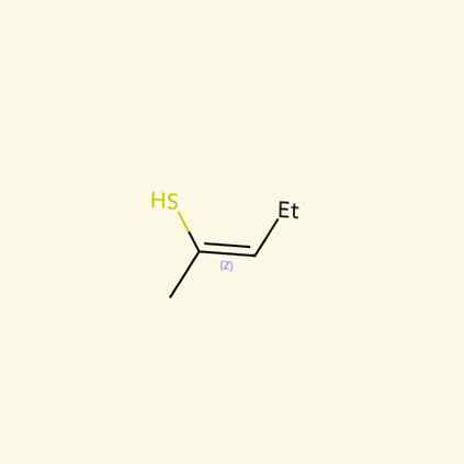 CC/C=C(/C)S